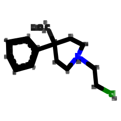 CCOC(=O)C1(c2ccccc2)CCN(CCCl)CC1